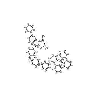 Fc1cc(F)c2c3cc(-c4ccccc4)ccc3n(-c3ccc4oc5ccc(-c6cccc(-c7cccc([Si](c8ccccc8)(c8ccccc8)c8ccccc8)c7)c6)cc5c4c3)c2c1